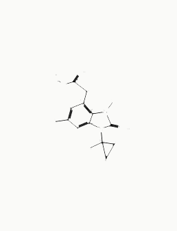 Cc1cc(CC(=O)OC(C)(C)C)c2c(c1)n(C1(C)CC1)c(=O)n2C